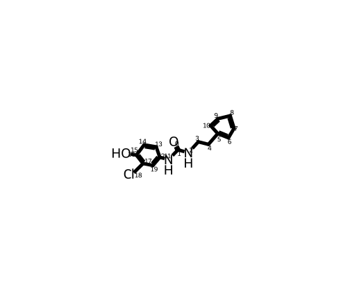 O=C(NCCc1ccccc1)Nc1ccc(O)c(Cl)c1